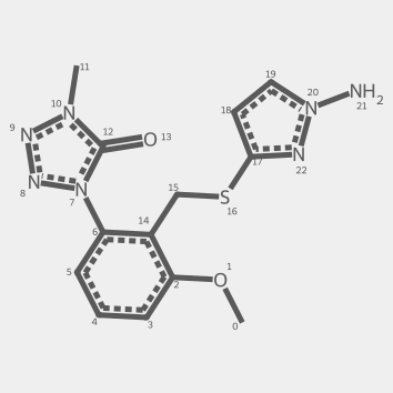 COc1cccc(-n2nnn(C)c2=O)c1CSc1ccn(N)n1